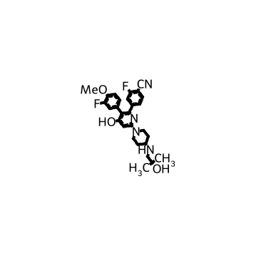 COc1ccc(-c2c(O)cc(N3CCC(NCC(C)(C)O)CC3)nc2-c2ccc(C#N)c(F)c2)cc1F